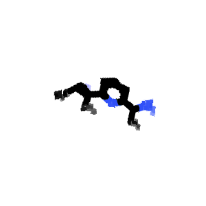 C/C=C(\C)c1cccc(C(C)N)n1